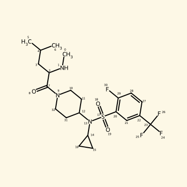 CNC(CC(C)C)C(=O)N1CCC(N(C2CC2)S(=O)(=O)c2cc(C(F)(F)F)ccc2F)CC1